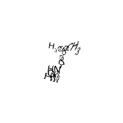 COc1ccc(COc2ccc(CNC3CCNC3=O)cc2)cc1OC